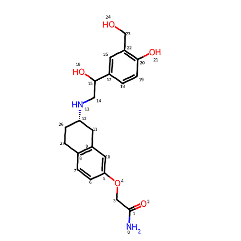 NC(=O)COc1ccc2c(c1)C[C@@H](NCC(O)c1ccc(O)c(CO)c1)CC2